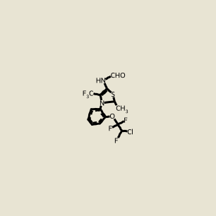 CC1SC(NC=O)=C(C(F)(F)F)N1c1ccccc1OC(F)(F)C(F)Cl